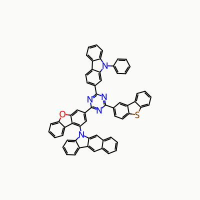 c1ccc(-n2c3ccccc3c3ccc(-c4nc(-c5cc(-n6c7ccccc7c7cc8ccccc8cc76)c6c(c5)oc5ccccc56)nc(-c5ccc6sc7ccccc7c6c5)n4)cc32)cc1